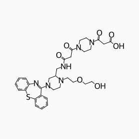 O=C(O)CC(=O)N1CCN(C(=O)CC(=O)NCC2CN(C3=Nc4ccccc4Sc4ccccc43)CCN2CCOCCO)CC1